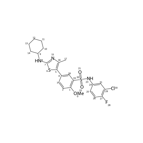 COc1ccc(-c2sc(NC3CCCCC3)nc2C)cc1S(=O)(=O)Nc1ccc(F)c(Cl)c1